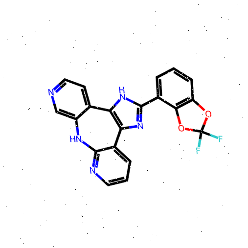 FC1(F)Oc2cccc(-c3nc4c([nH]3)-c3ccncc3Nc3ncccc3-4)c2O1